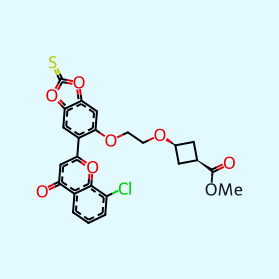 COC(=O)[C@H]1C[C@@H](OCCOc2cc3oc(=S)oc3cc2-c2cc(=O)c3cccc(Cl)c3o2)C1